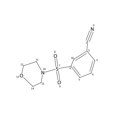 N#Cc1cccc(S(=O)(=O)N2CCOCC2)c1